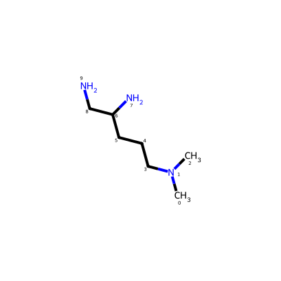 CN(C)CCCC(N)CN